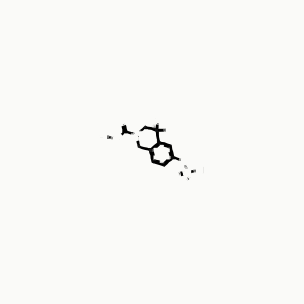 CC(C)(C)OC(=O)N1Cc2ccc(OS(=O)(=O)C(F)(F)F)cc2C(C)(C)C1